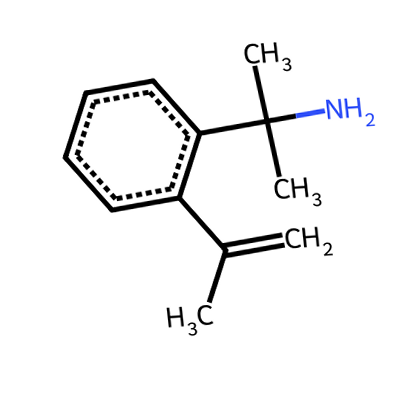 C=C(C)c1ccccc1C(C)(C)N